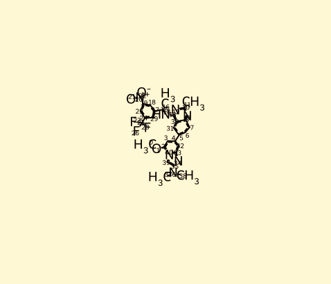 COc1cc(-c2ccc3nc(C)nc(NC(C)c4cc([N+](=O)[O-])cc(C(F)(F)F)c4)c3c2)cc2nc(N(C)C)cn12